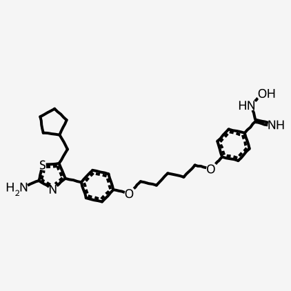 N=C(NO)c1ccc(OCCCCCOc2ccc(-c3nc(N)sc3CC3CCCC3)cc2)cc1